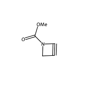 COC(=O)N1C#CC1